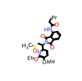 CCOc1nc(C(C[S+](C)[O-])N2C(=O)c3cccc(NC(=O)CC(C)C)c3C2=O)ccc1OC